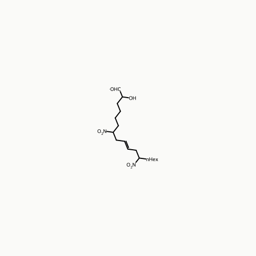 CCCCCCC(C/C=C/CC(CCCCC(O)[C]=O)[N+](=O)[O-])[N+](=O)[O-]